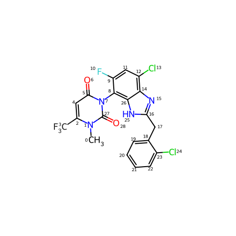 Cn1c(C(F)(F)F)cc(=O)n(-c2c(F)cc(Cl)c3nc(Cc4ccccc4Cl)[nH]c23)c1=O